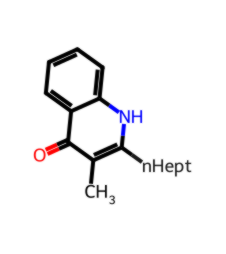 CCCCCCCc1[nH]c2ccccc2c(=O)c1C